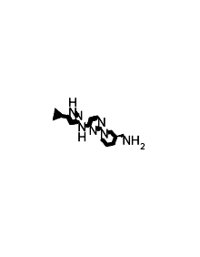 NC[C@H]1CCCN(c2nccc(Nc3cc(C4CC4)[nH]n3)n2)C1